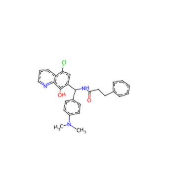 CN(C)c1ccc(C(NC(=O)CCc2ccccc2)c2cc(Cl)c3cccnc3c2O)cc1